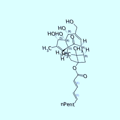 CCCCC/C=C/C=C/C(=O)OC12C[C@H]([C@@H]3C=C(CO)[C@@H](O)[C@]4(O)[C@@H](O)C(C)=C[C@@]4(C3=O)[C@H](C)C1)C2(C)C